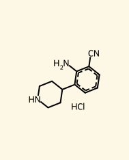 Cl.N#Cc1cccc(C2CCNCC2)c1N